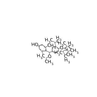 CCOC(c1ccc(O[Si](C(C)C)(C(C)C)C(C)C)c(C(C)C)c1)c1c(C)cc(O)cc1C